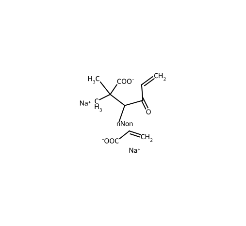 C=CC(=O)C(CCCCCCCCC)C(C)(C)C(=O)[O-].C=CC(=O)[O-].[Na+].[Na+]